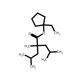 CCC1(OC(=O)C(C)(CC(C)C)CC(C)C)CCCC1